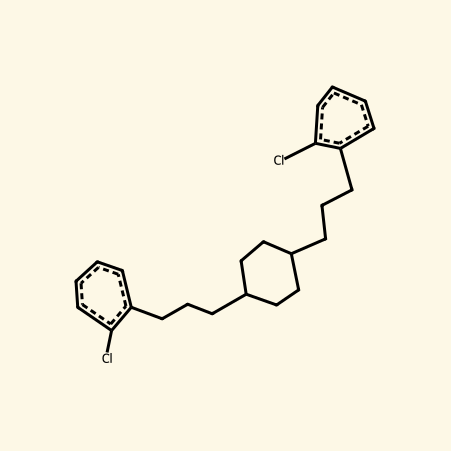 Clc1ccccc1CCCC1CCC(CCCc2ccccc2Cl)CC1